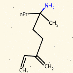 C=CC(=C)CCC(C)(N)CCC